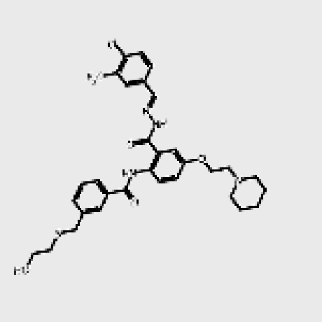 O=C(Nc1ccc(OCCN2CCCCC2)cc1C(=O)N/N=C/c1ccc(Cl)c(C(F)(F)F)c1)c1cccc(CSCCO)c1